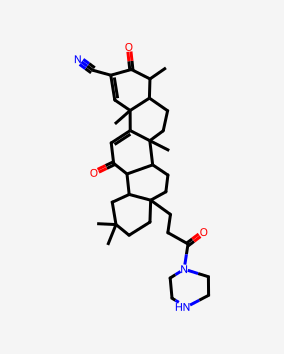 CC1C(=O)C(C#N)=CC2(C)C3=CC(=O)C4C5CC(C)(C)CCC5(CCC(=O)N5CCNCC5)CCC4C3(C)CCC12